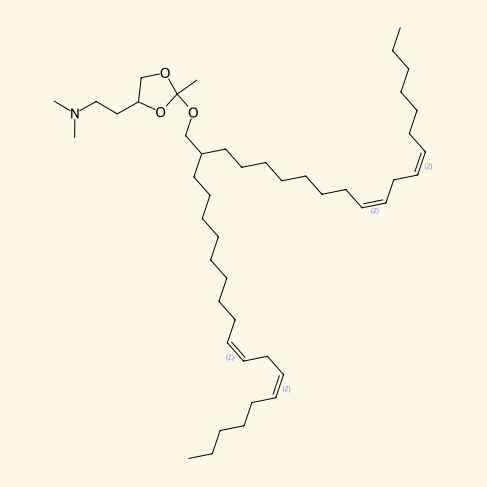 CCCCC/C=C\C/C=C\CCCCCCCCC(CCCCCCC/C=C\C/C=C\CCCCCC)COC1(C)OCC(CCN(C)C)O1